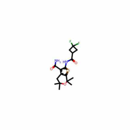 CC1(C)Cc2c(sc(NC(=O)C3CC(F)(F)C3)c2C(N)=O)C(C)(C)O1